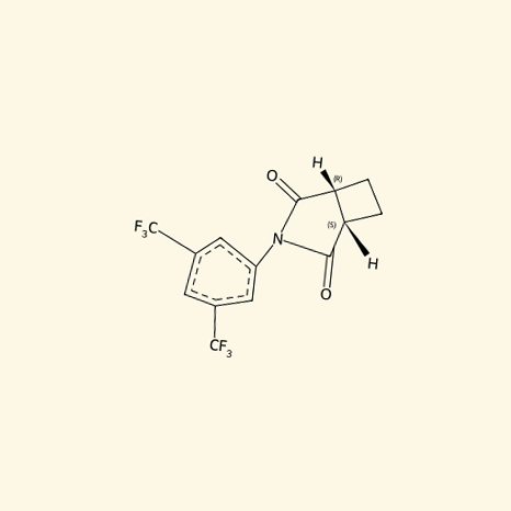 O=C1[C@H]2CC[C@H]2C(=O)N1c1cc(C(F)(F)F)cc(C(F)(F)F)c1